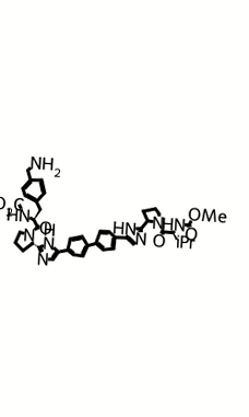 COC(=O)N[C@H](C(=O)N1CCCC1c1ncc(-c2ccc(-c3ccc(-c4cnc([C@@H]5CCCN5C(=O)[C@H](Cc5ccc(CN)cc5)NC(=O)O)[nH]4)cc3)cc2)[nH]1)C(C)C